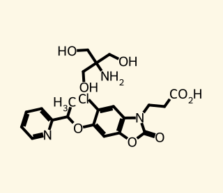 CC(Oc1cc2oc(=O)n(CCC(=O)O)c2cc1Cl)c1ccccn1.NC(CO)(CO)CO